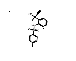 C#CC(C)(O)c1ccccc1NS(=O)(=O)c1ccc(C)cc1